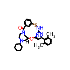 Cc1cccc(C)c1-c1cc2nc(n1)NSc1cccc(c1)C(=O)N1CCN(C3CCCCC3)C[C@H](C1)O2